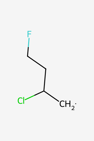 [CH2]C(Cl)CCF